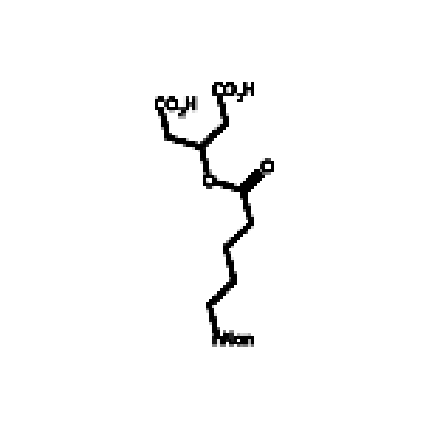 CCCCCCCCCCCCCC(=O)OC(CC(=O)O)CC(=O)O